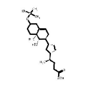 CCCC[C@H]1[C@H]([C@@H]2CC[C@H]([C@H](C)CCC(=O)OC)C2)CC=C2CC(O[Si](C)(C)C(C)(C)C)CC[C@@]21C